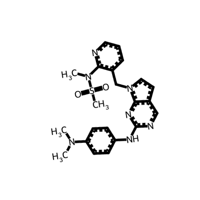 CN(C)c1ccc(Nc2ncc3ccn(Cc4cccnc4N(C)S(C)(=O)=O)c3n2)cc1